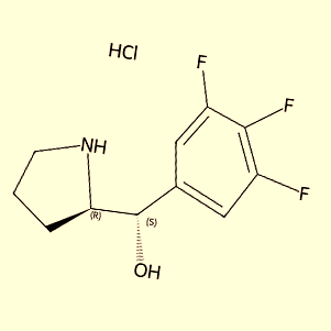 Cl.O[C@@H](c1cc(F)c(F)c(F)c1)[C@H]1CCCN1